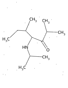 CCC(C)C(NC(C)C)C(=O)C(C)C